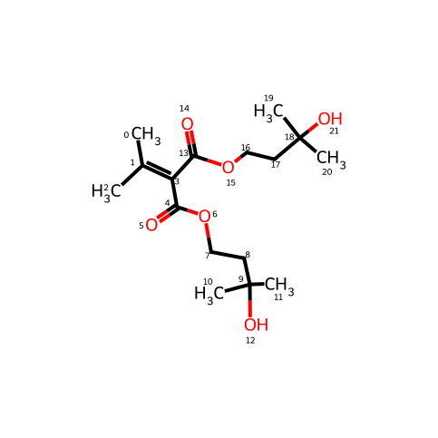 CC(C)=C(C(=O)OCCC(C)(C)O)C(=O)OCCC(C)(C)O